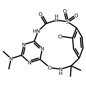 CN(C)c1nc2nc(n1)ONC(C)(C)c1ccc(c(Cl)c1)S(=O)(=O)NC(=O)N2